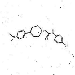 CN(C)c1ccc(C2CCC(CC(=O)Nc3ccc(Cl)cc3)CC2)cc1